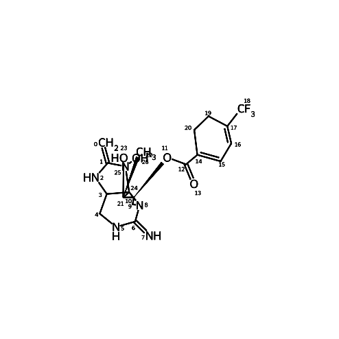 C=C1NC2CNC(=N)N3C[C@H](OC(=O)C4=CC=C(C(F)(F)F)CC4)[C@](C)(O)C23N1O